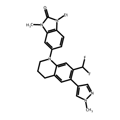 CCn1c(=O)n(C)c2cc(N3CCCc4cc(-c5cnn(C)c5)c(C(F)F)cc43)ccc21